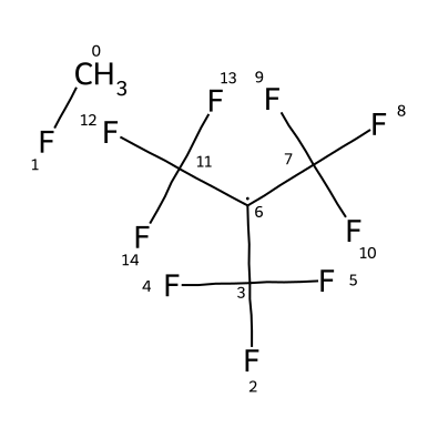 CF.FC(F)(F)[C](C(F)(F)F)C(F)(F)F